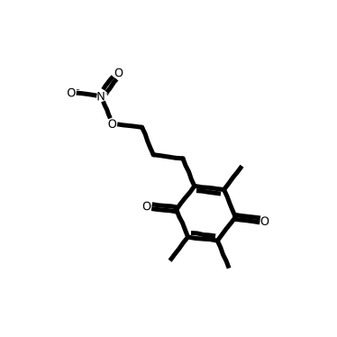 CC1=C(C)C(=O)C(CCCO[N+](=O)[O-])=C(C)C1=O